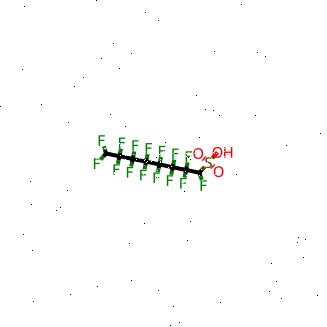 O=S(=O)(O)C(F)C(F)(F)C(F)(F)C(F)(F)C(F)(F)C(F)(F)C(F)(F)C(F)F